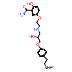 CC(=O)NCCc1ccc(OCC(O)CNCCOc2ccc(O)c(C(N)=O)c2)cc1